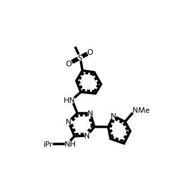 CNc1cccc(-c2nc(Nc3cccc(S(C)(=O)=O)c3)nc(NC(C)C)n2)n1